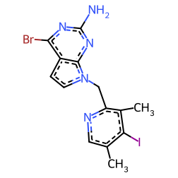 Cc1cnc(Cn2ccc3c(Br)nc(N)nc32)c(C)c1I